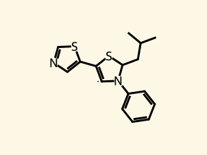 CC(C)CC1SC(c2cncs2)=[C]N1c1ccccc1